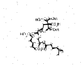 CCCCCCCCC(CCCCCCCC)C(CCCC(=O)OCC(C)OC(=O)CCCN(C)C)(C(=O)O)C(CCCCCCCC)CCCCCCCC.O=C(O)CCCCC(=O)O